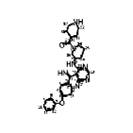 N=C(C1=CC=C(Oc2ccccc2)CC1)c1c(N)ncnc1NC1CCCN(C(=O)C2CCNCC2)C1